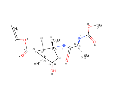 C=COC(=O)[C@H]1[C@H]2[C@@H]1[C@@](NC(=O)[C@@H](NC(=O)OC(C)(C)C)[C@@H](C)CC)(C(=O)OCC)C[C@@H]2O